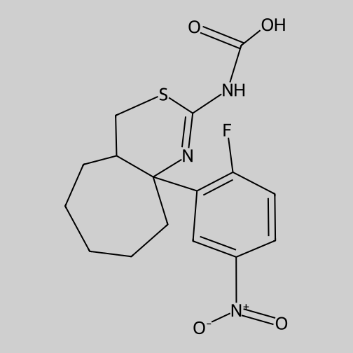 O=C(O)NC1=NC2(c3cc([N+](=O)[O-])ccc3F)CCCCCC2CS1